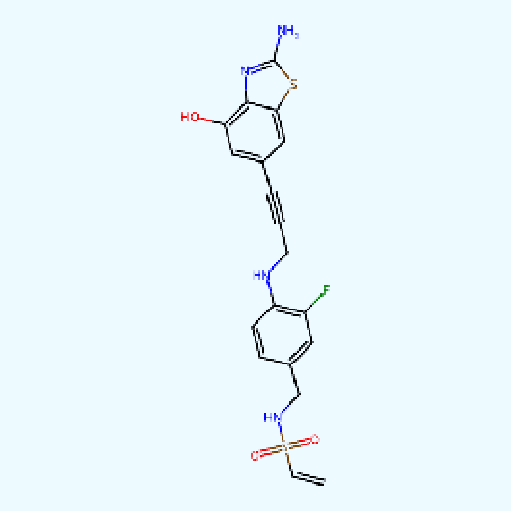 C=CS(=O)(=O)NCc1ccc(NCC#Cc2cc(O)c3nc(N)sc3c2)c(F)c1